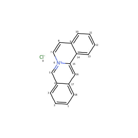 [Cl-].c1ccc2c[n+]3ccc4ccccc4c3cc2c1